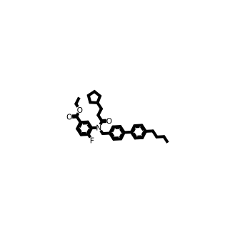 CCCCc1ccc(-c2ccc(CN(C(=O)CCC3CCCC3)c3cc(C(=O)OCC)ccc3F)cc2)cc1